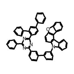 c1ccc(-c2ccc(-c3nc(-c4ccccc4)nc(-c4cccc(-c5cccc(-n6c7ccccc7c7c8c(ccc76)oc6ccccc68)c5)c4)n3)c(-c3ccccc3)c2)cc1